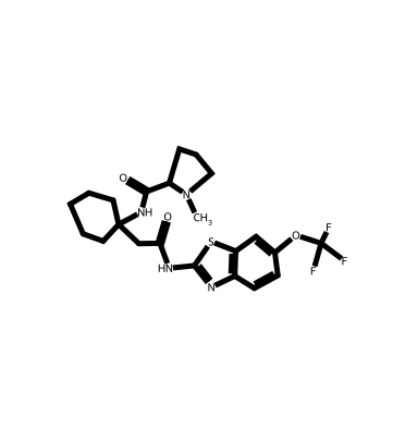 CN1CCCC1C(=O)NC1(CC(=O)Nc2nc3ccc(OC(F)(F)F)cc3s2)CCCCC1